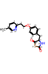 Cc1ccc(CCOc2ccc(CC3NC(=O)SC3=O)cc2)nc1